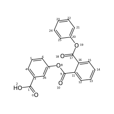 O=C(O)c1cccc(OC(=O)c2ccccc2C(=O)Oc2ccccc2)c1